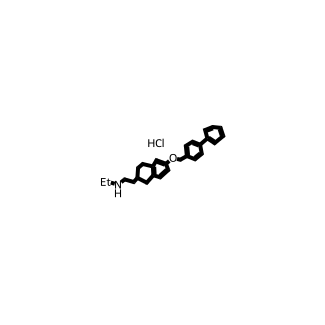 CCNCCC1CCc2cc(OCc3ccc(-c4ccccc4)cc3)ccc2C1.Cl